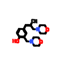 N#CC(=Cc1ccc(O)c(CN2CCOCC2)c1)CN1CCOCC1